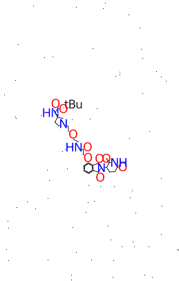 CC(C)(C)OC(=O)NC1CCN(CCOCCNC(=O)COc2cccc3c2C(=O)N(C2CCC(=O)NC2=O)C3=O)C1